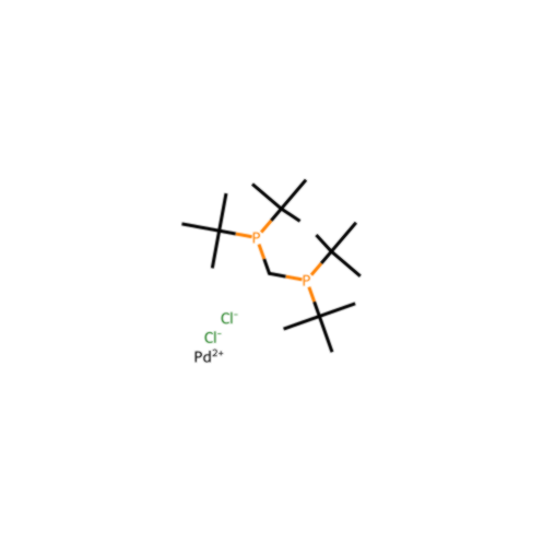 CC(C)(C)P(CP(C(C)(C)C)C(C)(C)C)C(C)(C)C.[Cl-].[Cl-].[Pd+2]